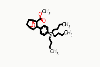 CCC[CH2][Sn]([CH2]CCC)([CH2]CCC)[c]1ccc(C2CC3CCC(O3)C2C(=O)OC)cc1